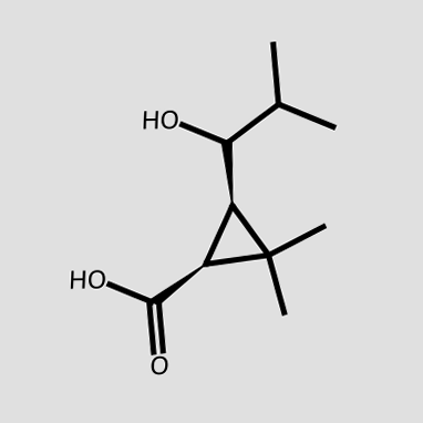 CC(C)C(O)[C@@H]1[C@H](C(=O)O)C1(C)C